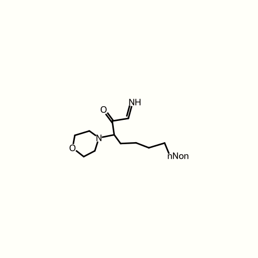 CCCCCCCCCCCCCC(C(=O)C=N)N1CCOCC1